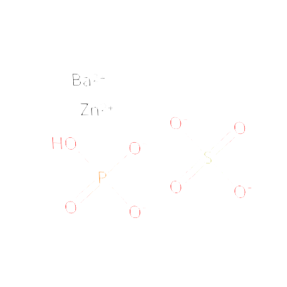 O=P([O-])([O-])O.O=S(=O)([O-])[O-].[Ba+2].[Zn+2]